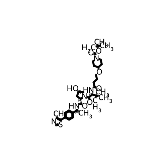 Cc1ncsc1-c1ccc([C@H](C)NC(=O)[C@@H]2C[C@@H](O)CN2C(=O)[C@@H](NC(=O)CCCOC2CCN(C(=O)OC(C)(C)C)CC2)C(C)(C)C)cc1